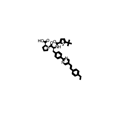 CCc1ccc(/C=C/c2cnc(-c3ccc(C[C@H](NC(=O)c4ccc(C(C)(C)C)s4)C(=O)N4CCC[C@H]4C(=O)O)cc3)nc2)cc1